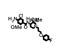 COc1cc(N)c(Cl)cc1C(=O)N[C@H]1CCN(CCCOc2ccc(F)cc2)C[C@H]1OC.O